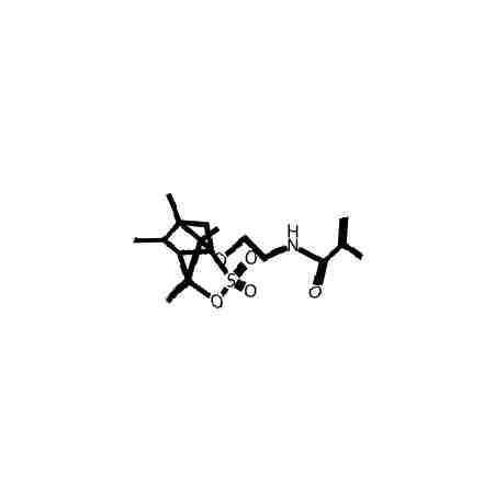 C=C(C)C(=O)NCCOC1(C)C2(C)CC3C(C2C)C1(C)OS3(=O)=O